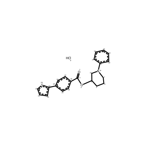 Cl.O=C(OC1CCCN(c2ccccc2)C1)c1ccc(-c2cccs2)cc1